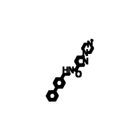 CN1CCN(c2ccc(C(=O)NCCc3ccc(-c4ccccc4)cc3)cn2)CC1